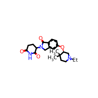 CCN1CCC(C)(C)[C@@H](Oc2ccc3c(c2)CN(C2CCC(=O)NC2=O)C3=O)C1